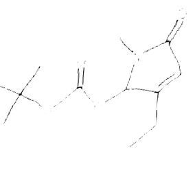 CCC1=CC(=O)N(C)C1OC(=O)OC(C)(C)C